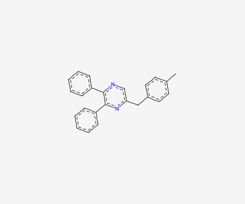 Cc1ccc(Cc2cnc(-c3ccccc3)c(-c3ccccc3)n2)cc1